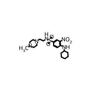 CN1CCN(CCNS(=O)(=O)c2ccc(NC3CCCCC3)c([N+](=O)[O-])c2)CC1